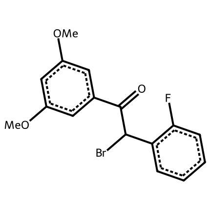 COc1cc(OC)cc(C(=O)C(Br)c2ccccc2F)c1